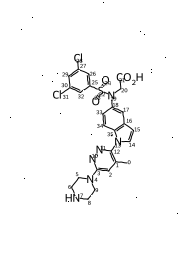 Cc1cc(N2CCNCC2)nnc1-n1ccc2cc(N(CC(=O)O)S(=O)(=O)c3cc(Cl)cc(Cl)c3)ccc21